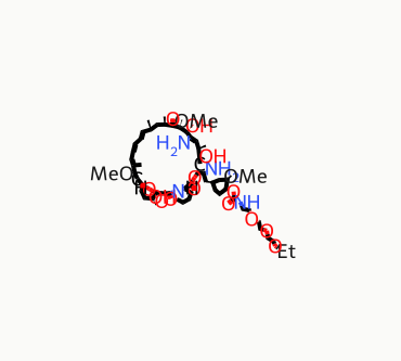 CCOCCOCCOCCNC(=O)O[C@@H]1CC[C@@H](C[C@@H](N)[C@@H]2CC(O)[C@H](C)/C=C(\N)[C@@H](O)[C@@H](OC)C(=O)[C@H](C)C[C@H](C)/C=C/C=C/C=C(\C)[C@@H](OC)C[C@@H]3CC[C@@H](C)[C@@](O)(O3)C(=O)C(=O)N3CCCC[C@H]3C(=O)O2)C[C@H]1OC